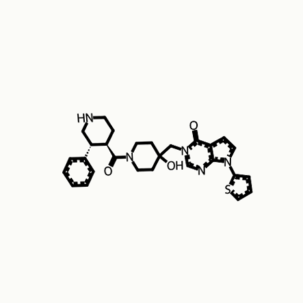 O=C([C@@H]1CCNC[C@H]1c1ccccc1)N1CCC(O)(Cn2cnc3c(ccn3-c3cccs3)c2=O)CC1